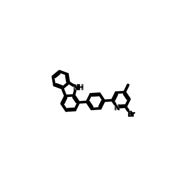 Cc1cc(Br)nc(-c2ccc(-c3cccc4c3[nH]c3ccccc34)cc2)c1